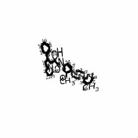 COCc1cc(NC(=O)C(=O)c2c(-c3ccccc3)cc3ccccn23)ccc1N1CCN(c2cc(C)ccn2)CC1